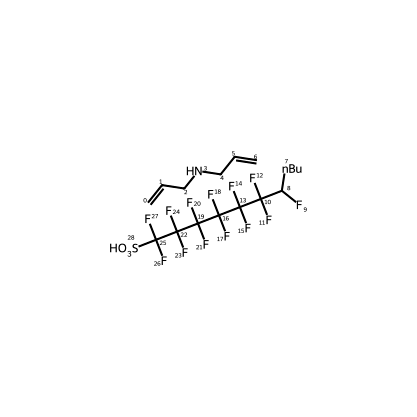 C=CCNCC=C.CCCCC(F)C(F)(F)C(F)(F)C(F)(F)C(F)(F)C(F)(F)C(F)(F)S(=O)(=O)O